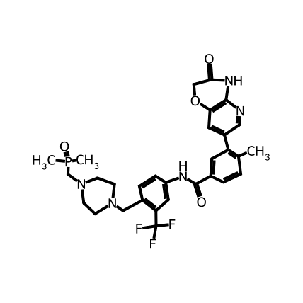 Cc1ccc(C(=O)Nc2ccc(CN3CCN(CP(C)(C)=O)CC3)c(C(F)(F)F)c2)cc1-c1cnc2c(c1)OCC(=O)N2